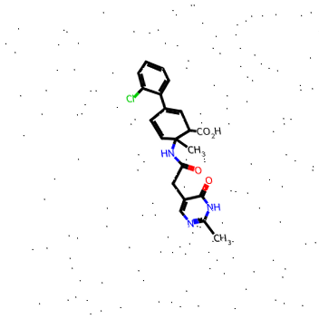 Cc1ncc(CC(=O)NC2(C)C=CC(c3ccccc3Cl)=CC2C(=O)O)c(=O)[nH]1